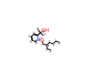 CCCCC(CC)CO[n+]1ccccc1C(C)(C)O